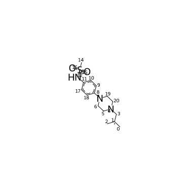 C[C](C)CN1CCN(c2ccc(NS(C)(=O)=O)cc2)CC1